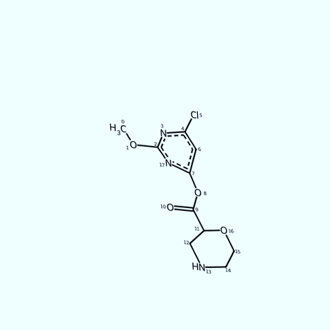 COc1nc(Cl)cc(OC(=O)C2CNCCO2)n1